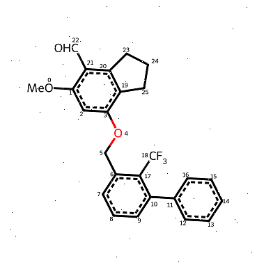 COc1cc(OCc2cccc(-c3ccccc3)c2C(F)(F)F)c2c(c1C=O)CCC2